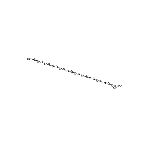 COC(O)COCCOCCOCCOCCOCCOCCOCCOCCOCCOCCOCCOCCOCCOCCOCCOCCOCCOCCOCCOCCOCCOCCO